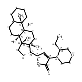 C[C@]12CCCCC1CC[C@@H]1[C@@H]2CC[C@]2(C)[C@H]([C@@H]3C=C(N4CCOC[C@@H]4CN)C(=O)O3)CC[C@]12O